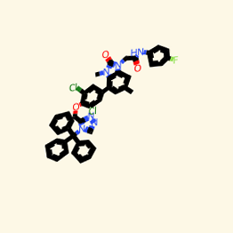 Cc1cc(-c2cc(Cl)c(OCc3nncn3C(c3ccccc3)(c3ccccc3)c3ccccc3)c(Cl)c2)c2c(c1)n(CC(=O)Nc1ccc(F)cc1)c(=O)n2C